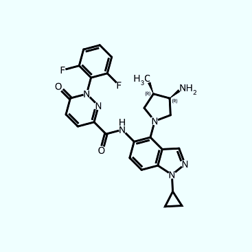 C[C@@H]1CN(c2c(NC(=O)c3ccc(=O)n(-c4c(F)cccc4F)n3)ccc3c2cnn3C2CC2)C[C@@H]1N